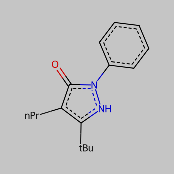 CCCc1c(C(C)(C)C)[nH]n(-c2ccccc2)c1=O